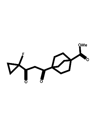 COC(=O)C12CCC(C(=O)CC(=O)C3(F)CC3)(CC1)CC2